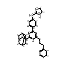 c1ccc(CCCc2cc(-c3ccc(NC4=NCCN4)cc3)nc(C34CC5CC(CC(C5)C3)C4)n2)cc1